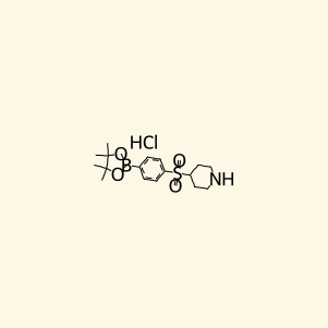 CC1(C)OB(c2ccc(S(=O)(=O)C3CCNCC3)cc2)OC1(C)C.Cl